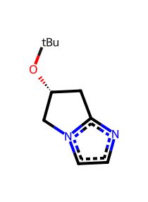 CC(C)(C)O[C@@H]1Cc2nccn2C1